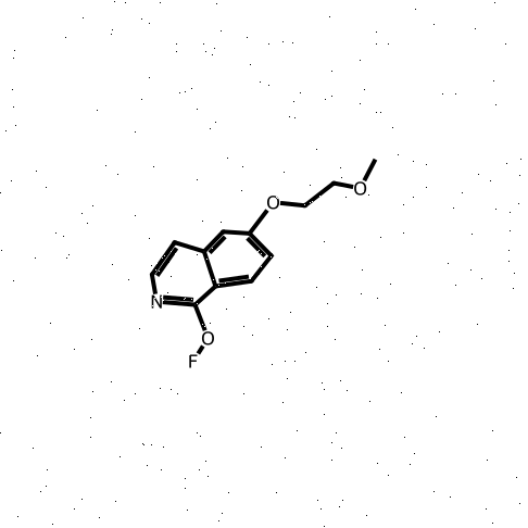 COCCOc1ccc2c(OF)nccc2c1